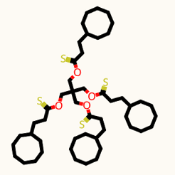 S=C(CCC1CCCCCCC1)OCC(COC(=S)CCC1CCCCCCC1)(COC(=S)CCC1CCCCCCC1)COC(=S)CCC1CCCCCCC1